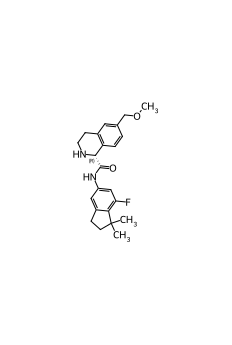 COCc1ccc2c(c1)CCN[C@H]2C(=O)Nc1cc(F)c2c(c1)CCC2(C)C